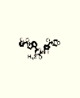 Cn1cccc1C(=O)N1CCc2c(-c3cn(C)c(=O)c(Nc4ccc(C(=O)N5CCOCC5)cc4)n3)cccc21